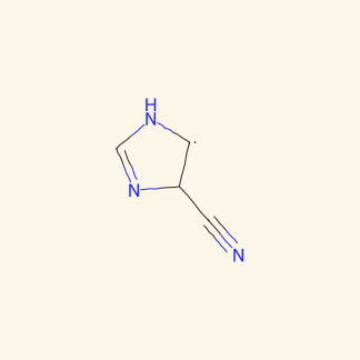 N#CC1[CH]NC=N1